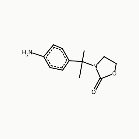 CC(C)(c1ccc(N)cc1)N1CCOC1=O